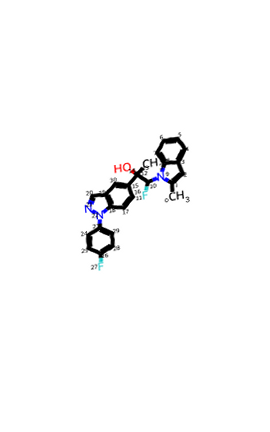 Cc1cc2ccccc2n1C(F)C(C)(O)c1ccc2c(cnn2-c2ccc(F)cc2)c1